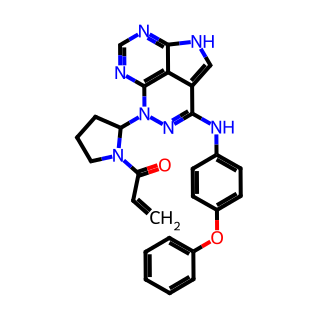 C=CC(=O)N1CCCC1N1N=C(Nc2ccc(Oc3ccccc3)cc2)c2c[nH]c3ncnc1c23